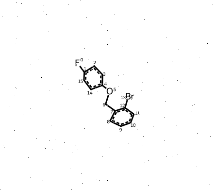 Fc1ccc(OCc2ccccc2Br)cc1